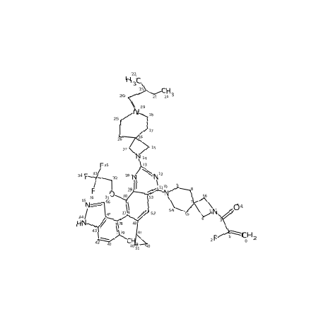 C=C(F)C(=O)N1CC2(CCN(c3nc(N4CC5(CCN(CC(C)CC)CC5)C4)nc4c(OCC(F)(F)F)c(-c5c(C)ccc6[nH]ncc56)c(C5CC5)cc34)CC2)C1